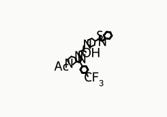 CC(=O)N1CCc2c(c(-c3ccc(C(F)(F)F)cc3)nn2CC(O)CN2CCC(c3nc4ccccc4s3)CC2)C1